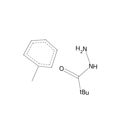 CC(C)(C)C(=O)NN.Cc1ccccc1